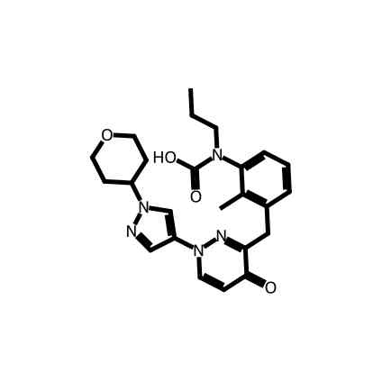 CCCN(C(=O)O)c1cccc(Cc2nn(-c3cnn(C4CCOCC4)c3)ccc2=O)c1C